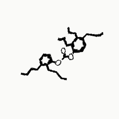 CCCCc1cccc(OC(=O)Oc2ccc(CCC)c(CCC)c2CCC)c1CCCC